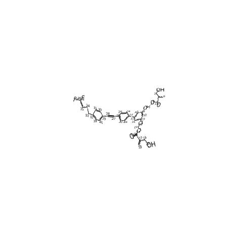 C=C(CO)C(=O)OCOc1cc(OCOC(=O)C(=C)CO)cc(-c2ccc(C#Cc3ccc(CCC=C(F)F)cc3)cc2)c1